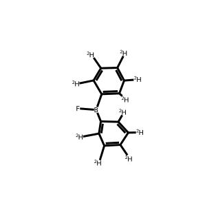 [2H]c1c([2H])c([2H])c(B(F)c2c([2H])c([2H])c([2H])c([2H])c2[2H])c([2H])c1[2H]